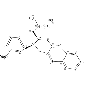 COc1cccc([C@@H]2Cc3nc4ccccc4cc3C[C@@H]2CN(C)C)c1.Cl